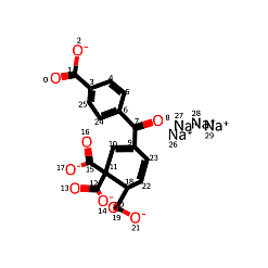 O=C([O-])c1ccc(C(=O)C2=CC(C(=O)[O-])(C(=O)[O-])C(C(=O)[O-])C=C2)cc1.[Na+].[Na+].[Na+].[Na+]